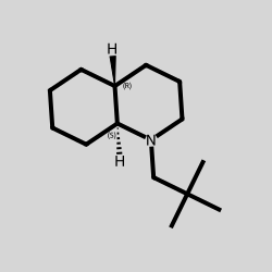 CC(C)(C)CN1CCC[C@H]2CCCC[C@@H]21